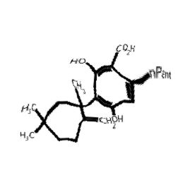 C=C1CCC(C)(C)CC1(C)c1c(O)cc(CCCCC)c(C(=O)O)c1O